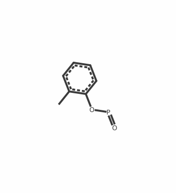 Cc1ccccc1OP=O